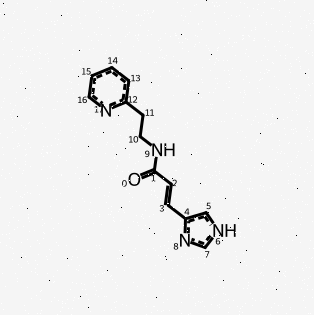 O=C(C=Cc1c[nH]cn1)NCCc1ccccn1